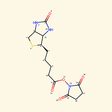 O=C1NC2CS[C@H](CCCCC(=O)ON3C(=O)CCC3=O)C2N1